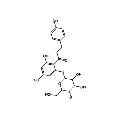 O=C(CCc1ccc(O)cc1)c1c(O)cc(O)cc1OC1OC(CO)C(F)C(O)C1O